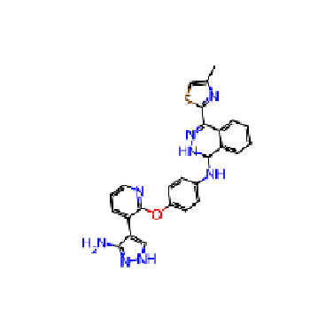 Cc1csc(C2=NNC(Nc3ccc(Oc4ncccc4-c4c[nH]nc4N)cc3)c3ccccc32)n1